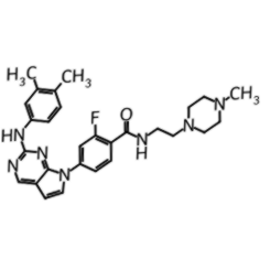 Cc1ccc(Nc2ncc3ccn(-c4ccc(C(=O)NCCN5CCN(C)CC5)c(F)c4)c3n2)cc1C